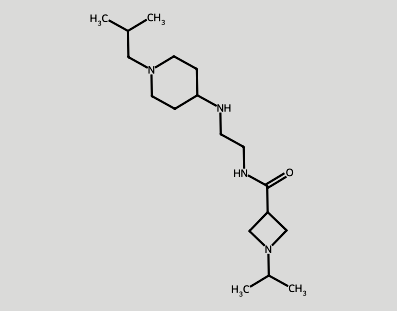 CC(C)CN1CCC(NCCNC(=O)C2CN(C(C)C)C2)CC1